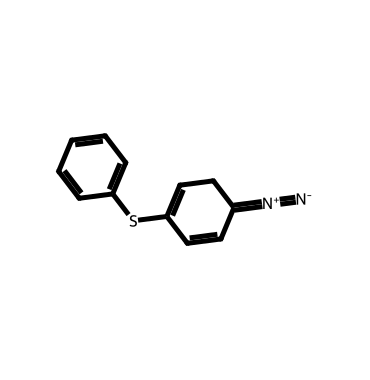 [N-]=[N+]=C1C=CC(Sc2ccccc2)=CC1